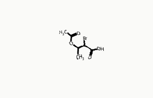 CC(=O)OC(C)C(Br)C(=O)O